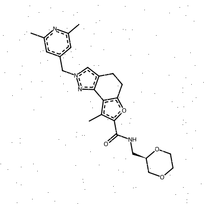 Cc1cc(Cn2cc3c(n2)-c2c(oc(C(=O)NC[C@@H]4COCCO4)c2C)CC3)cc(C)n1